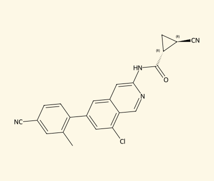 Cc1cc(C#N)ccc1-c1cc(Cl)c2cnc(NC(=O)[C@@H]3C[C@H]3C#N)cc2c1